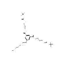 CN(C)CCCNC(=O)Cc1cc(C(=O)NCCCNC(=O)OC(C)(C)C)cc(C(=O)NCCCNC(=O)OC(C)(C)C)c1